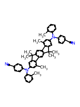 Cc1ccccc1N(c1ccc(C#N)cc1)c1cc(C)c2c(c1)C(C)(C)c1cc3c(cc1-2)C(C)(C)c1cc(N(c2ccc(C#N)cc2)c2ccccc2C)cc(C)c1-3